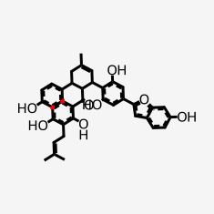 CC(C)=CCc1c(O)ccc(C(=O)C2C(c3c(O)cc(-c4cc5ccc(O)cc5o4)cc3O)C=C(C)CC2c2ccc(O)cc2)c1O